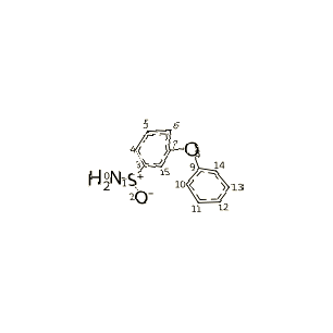 N[S+]([O-])c1cccc(Oc2ccccc2)c1